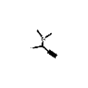 C#CC([CH2])N(C)C